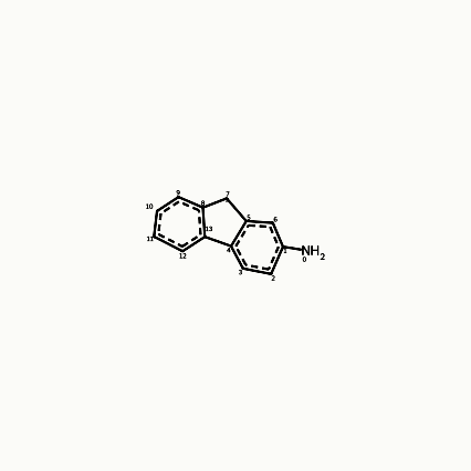 Nc1ccc2c(c1)[CH]c1ccccc1-2